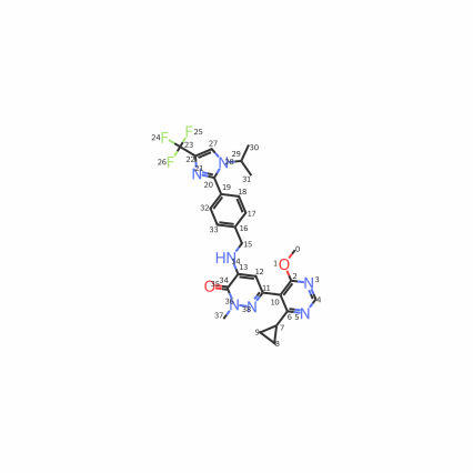 COc1ncnc(C2CC2)c1-c1cc(NCc2ccc(-c3nc(C(F)(F)F)cn3C(C)C)cc2)c(=O)n(C)n1